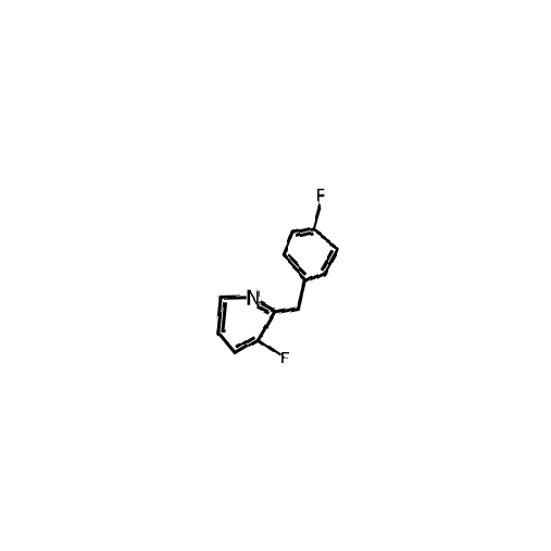 Fc1ccc(Cc2ncccc2F)cc1